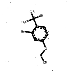 CCC(C)(C)c1ccc(OCC#N)cc1Br